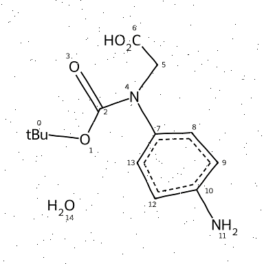 CC(C)(C)OC(=O)N(CC(=O)O)c1ccc(N)cc1.O